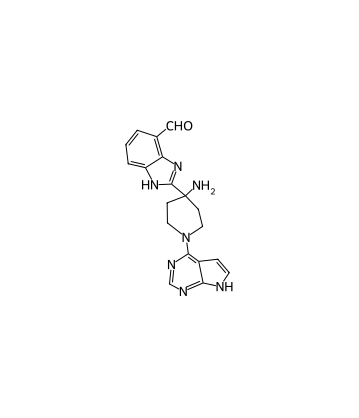 NC1(c2nc3c(C=O)cccc3[nH]2)CCN(c2ncnc3[nH]ccc23)CC1